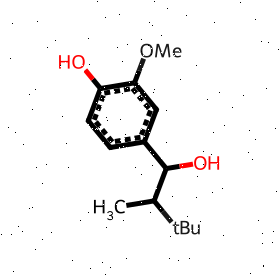 COc1cc(C(O)C(C)C(C)(C)C)ccc1O